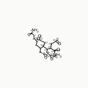 NC(=O)CCCCC(CC1CO1)C(CC1CO1)C(CC1CO1)C(CC1CO1)C(N)=O